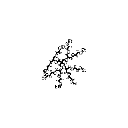 CCOCCOCC(COCCOCC)OCC(COC(COCCOCC)COCCOCC)(COC(COCCOCC)COCCOCC)COC(COCCOCC)COCCOCC